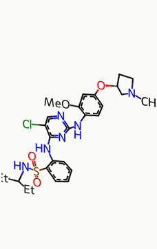 CCC(CC)NS(=O)(=O)c1ccccc1Nc1nc(Nc2ccc(O[C@H]3CCN(C)C3)cc2OC)ncc1Cl